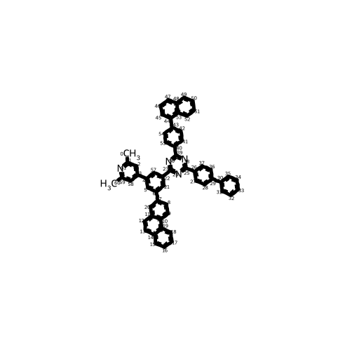 Cc1cc(-c2cc(-c3ccc4c(ccc5ccccc54)c3)cc(-c3nc(-c4ccc(-c5ccccc5)cc4)nc(-c4ccc(-c5cccc6ccccc56)cc4)n3)c2)cc(C)n1